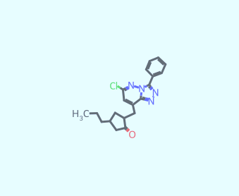 CCCC1CC(=O)C(Cc2cc(Cl)nn3c(-c4ccccc4)nnc23)C1